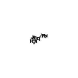 N.[Cl].[Pb].[Zn]